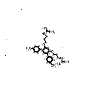 N=C(N)NCCCOc1cc(OCCCNC(=N)N)c(-c2ccc(C(F)(F)F)cc2)cc1-c1ccc(C(F)(F)F)cc1